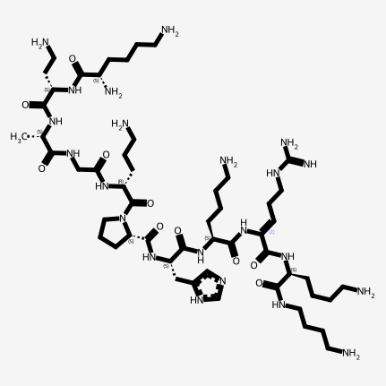 C[C@H](NC(=O)[C@H](CCN)NC(=O)[C@@H](N)CCCCN)C(=O)NCC(=O)N[C@H](CCCN)C(=O)N1CCC[C@H]1C(=O)N[C@@H](Cc1cnc[nH]1)C(=O)N[C@@H](CCCCN)C(=O)N/C(=C\CCNC(=N)N)C(=O)N[C@@H](CCCCN)C(=O)NCCCCN